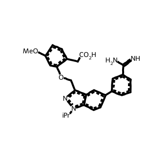 COc1ccc(CC(=O)O)c(OCc2nn(C(C)C)c3ccc(-c4cccc(C(=N)N)c4)cc23)c1